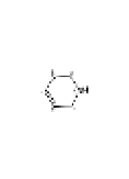 [C]1=CSCNC1